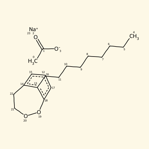 CC(=O)[O-].CCCCCCCCCc1c2cccc1OOCC2.[Na+]